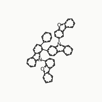 c1ccc(-c2ccc3c4ccccc4n(-c4cccc5c4oc4ccccc45)c3c2-c2ccc3c4ccccc4n(-c4ccc5oc6ccccc6c5c4)c3c2)cc1